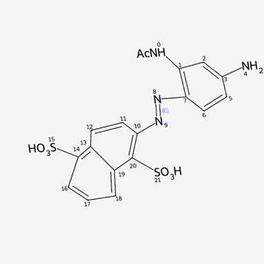 CC(=O)Nc1cc(N)ccc1/N=N/c1ccc2c(S(=O)(=O)O)cccc2c1S(=O)(=O)O